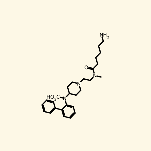 CN(CCN1CCC(N(C(=O)O)c2ccccc2-c2ccccc2)CC1)C(=O)CCCCCN